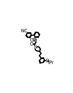 CC(C)Oc1cccc(CCC2CCN(C(=O)COc3ccccc3-c3cc(C#N)ccc3O)CC2)c1